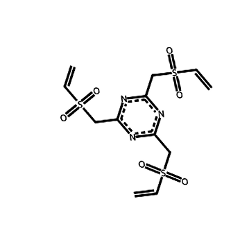 C=CS(=O)(=O)Cc1nc(CS(=O)(=O)C=C)nc(CS(=O)(=O)C=C)n1